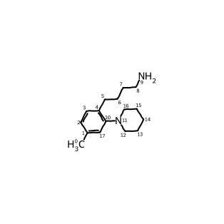 Cc1ccc(CCCCN)c(N2CCCCC2)c1